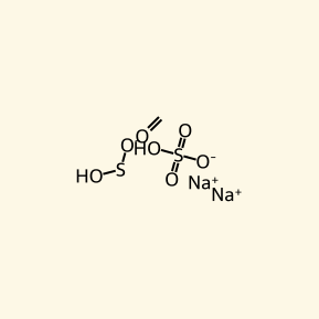 C=O.O=S(=O)([O-])O.[Na+].[Na+].[O-]SO